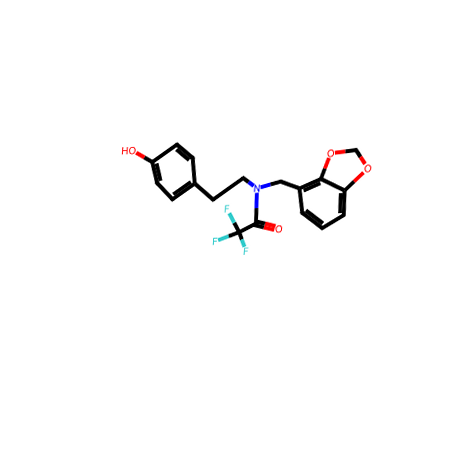 O=C(N(CCc1ccc(O)cc1)Cc1cccc2c1OCO2)C(F)(F)F